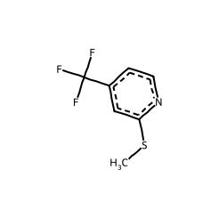 CSc1cc(C(F)(F)F)ccn1